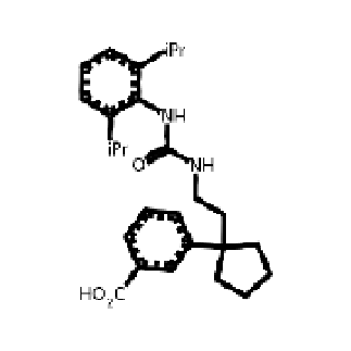 CC(C)c1cccc(C(C)C)c1NC(=O)NCCC1(c2cccc(C(=O)O)c2)CCCC1